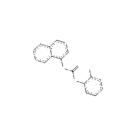 COc1ccccc1NC(=S)Nc1cccc2ccccc12